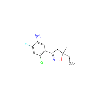 CC(=O)OCC1(C)CC(c2cc(N)c(F)cc2Cl)=NO1